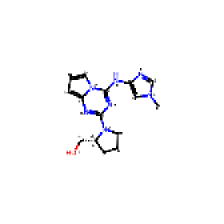 Cn1cnc(Nc2nc(N3CCC[C@@H]3CO)nc3cccn23)c1